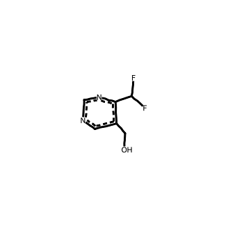 OCc1cncnc1C(F)F